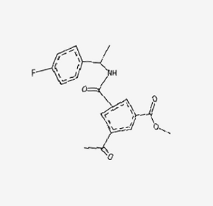 COC(=O)c1cc(C(C)=O)cc(C(=O)NC(C)c2ccc(F)cc2)c1